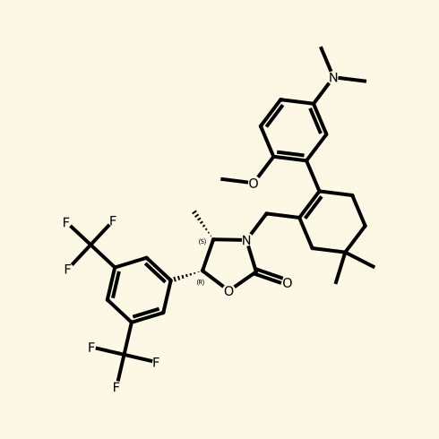 COc1ccc(N(C)C)cc1C1=C(CN2C(=O)O[C@H](c3cc(C(F)(F)F)cc(C(F)(F)F)c3)[C@@H]2C)CC(C)(C)CC1